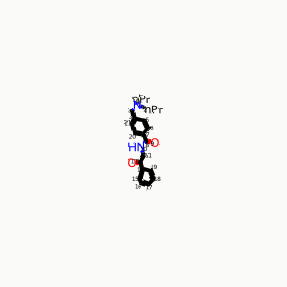 CCCN(CCC)Cc1ccc(C(=O)NCC(=O)c2ccccc2)cc1